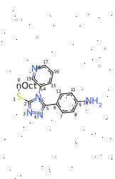 CCCCCCCCSc1nnc(-c2ccc(N)cc2)n1-c1cccnc1